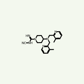 Cc1cccnc1CN(Cc1ncccc1C)C1CCN(C(=N)NC#N)CC1